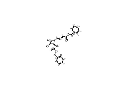 O=C(/C=N/CC1NC(=O)C1NC(=O)OCc1ccccc1)OCc1ccccc1